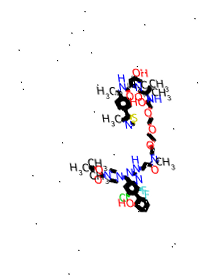 Cc1ncsc1-c1ccc([C@H](C)NC(=O)[C@@H]2C[C@@H](O)CN2C(=O)[C@@H](NC(O)COCCOCCOCCN(C)C(=O)CCNc2nc(N3CCN(C(=O)OC(C)(C)C)CC3)c3cc(Cl)c(-c4c(O)cccc4F)c(F)c3n2)C(C)(C)C)cc1